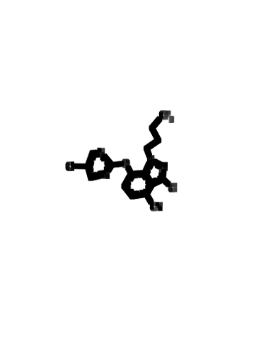 N#Cc1ccc(Oc2ncc(Cl)cn2)c2c1c(Cl)nn2CCCC(F)(F)F